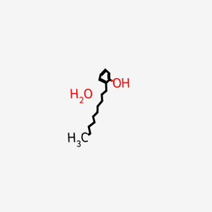 CCCCCCCCCCc1ccccc1O.O